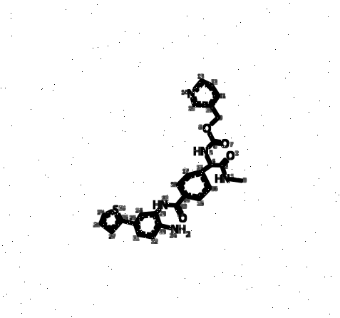 CNC(=O)C(NC(=O)OCc1cccnc1)c1ccc(C(=O)Nc2cc(-c3cccs3)ccc2N)cc1